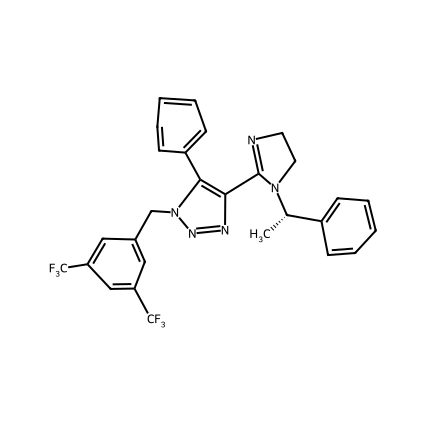 C[C@@H](c1ccccc1)N1CCN=C1c1nnn(Cc2cc(C(F)(F)F)cc(C(F)(F)F)c2)c1-c1ccccc1